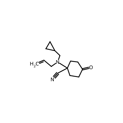 C=CCN(CC1CC1)C1(C#N)CCC(=O)CC1